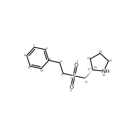 O=S(=O)(CCc1ccccc1)C[C@@H]1CCCN1